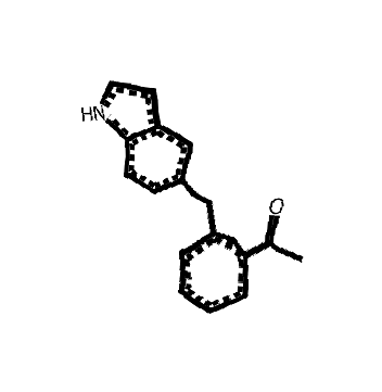 CC(=O)c1ccccc1Cc1ccc2[nH]ccc2c1